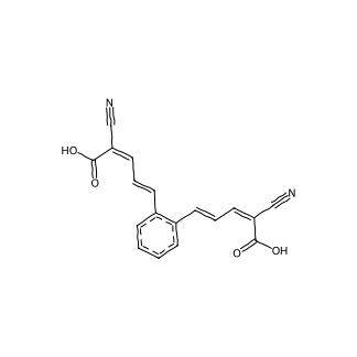 N#CC(=CC=Cc1ccccc1C=CC=C(C#N)C(=O)O)C(=O)O